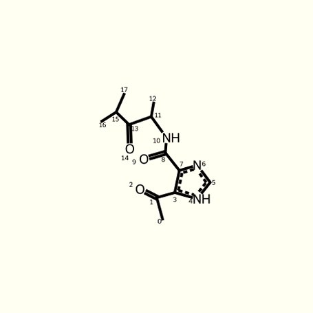 CC(=O)c1[nH]cnc1C(=O)NC(C)C(=O)C(C)C